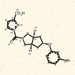 CC(C)c1cccc(O[C@H]2C[C@@H]3CN(C(=O)n4ccc(C(=O)O)n4)C[C@@H]3C2)c1